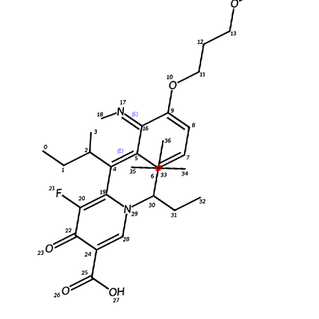 CCC(C)/C(=C1/C=CC=C(OCCCOC)/C1=N/C)c1c(F)c(=O)c(C(=O)O)cn1C(CC)C(C)(C)C